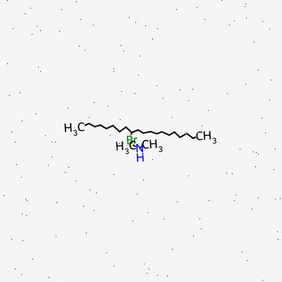 CCCCCCCCCCCC(Br)CCCCCCCC.CNC